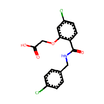 O=C(O)COc1cc(Cl)ccc1C(=O)NCc1ccc(Cl)cc1